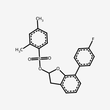 Cc1ccc(S(=O)(=O)OC2Cc3cccc(-c4ccc(F)cc4)c3O2)c(C)c1